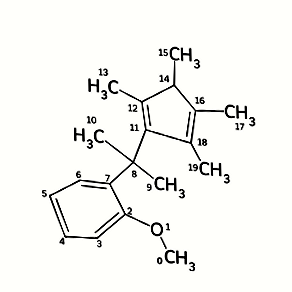 COc1ccccc1C(C)(C)C1=C(C)C(C)C(C)=C1C